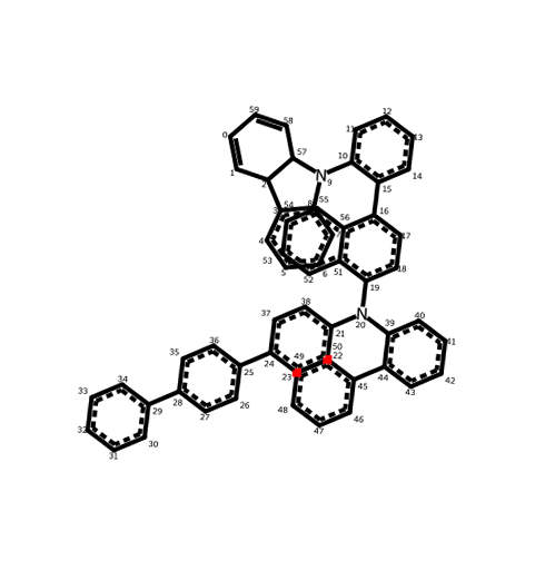 C1=CC2c3ccccc3N(c3ccccc3-c3ccc(N(c4ccc(-c5ccc(-c6ccccc6)cc5)cc4)c4ccccc4-c4ccccc4)c4ccccc34)C2C=C1